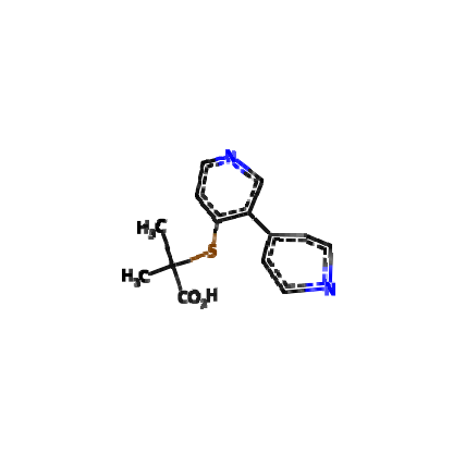 CC(C)(Sc1ccncc1-c1ccncc1)C(=O)O